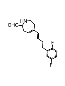 O=CC1CC=C(/C=C/CCc2cc(F)ccc2F)CCN1